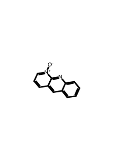 [O-][n+]1cccc2cc3ccccc3nc21